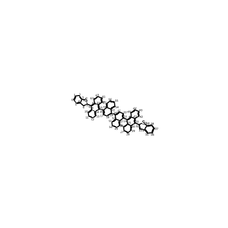 c1ccc2c(c1)CC(c1c3ccccc3c(-c3ccc(-c4ccc(-c5c6ccccc6c(C6Cc7ccccc7S6)c6ccccc56)c5ccccc45)c4ccccc34)c3ccccc13)S2